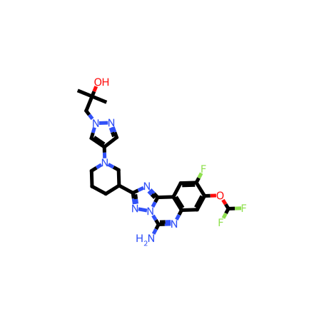 CC(C)(O)Cn1cc(N2CCCC(c3nc4c5cc(F)c(OC(F)F)cc5nc(N)n4n3)C2)cn1